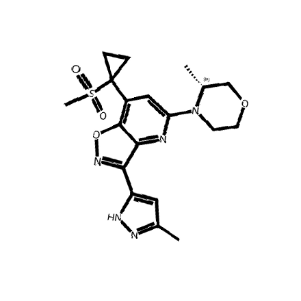 Cc1cc(-c2noc3c(C4(S(C)(=O)=O)CC4)cc(N4CCOC[C@H]4C)nc23)[nH]n1